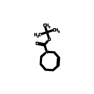 CC(C)(C)OC(=O)N1C/C=C\CCCC1